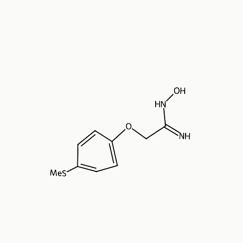 CSc1ccc(OCC(=N)NO)cc1